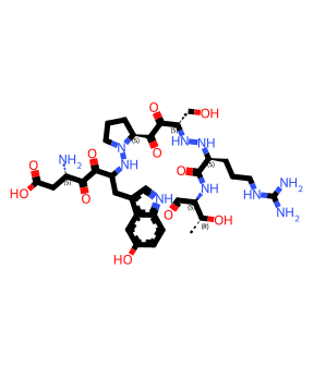 C[C@@H](O)[C@@H](C=O)NC(=O)[C@H](CCCNC(N)N)NN[C@@H](CO)C(=O)C(=O)[C@@H]1CCCN1NC(Cc1c[nH]c2ccc(O)cc12)C(=O)C(=O)[C@@H](N)CC(=O)O